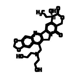 CC[C@@]1(O)C(=O)OCc2c1cc1n(c2=O)Cc2c-1nc1cc3c(cc1c2CN(CCO)CCO)OCO3